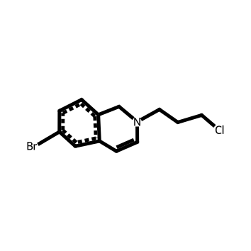 ClCCCN1C=Cc2cc(Br)ccc2C1